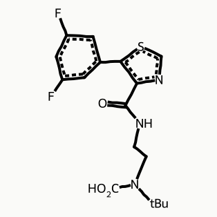 CC(C)(C)N(CCNC(=O)c1ncsc1-c1cc(F)cc(F)c1)C(=O)O